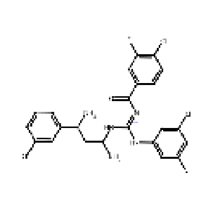 NC(CC(N)c1cccc(Cl)c1)N/C(=N\C(=O)c1ccc(Cl)c(F)c1)Nc1cc(F)cc(Cl)c1